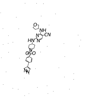 Cn1cc(-c2ccc(S(=O)(=O)N3CCC(Nc4ncc(C#N)c(N[C@@H]5CCOC5)n4)CC3)cc2)cn1